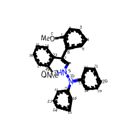 COc1ccccc1C(=CNN(c1ccccc1)c1ccccc1)c1ccccc1OC